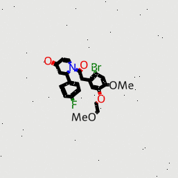 COCCOc1cc(CC(=O)N2C=CC(=O)CC2c2ccc(F)cc2)c(Br)cc1OC